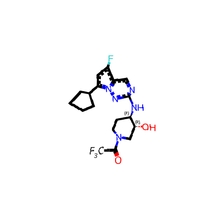 O=C(N1CC[C@@H](Nc2ncc3c(F)cc(C4CCCC4)n3n2)[C@H](O)C1)C(F)(F)F